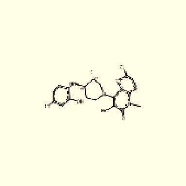 C[C@@H]1CN(c2c(C#N)c(=O)n(C)c3ccc(Cl)nc23)CC[C@H]1Nc1ccc(Cl)cc1O